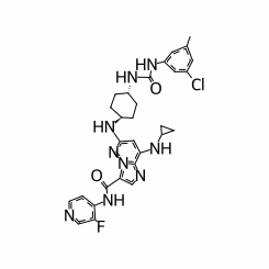 Cc1cc(Cl)cc(NC(=O)N[C@H]2CC[C@H](Nc3cc(NC4CC4)c4ncc(C(=O)Nc5ccncc5F)n4n3)CC2)c1